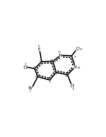 Fc1c(Cl)c(Br)cc2c(Cl)nc(Cl)nc12